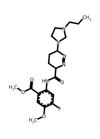 CCCN1CCN(C2CCC(C(=O)Nc3cc(F)c(OC)cc3C(=O)OC)N=N2)C1